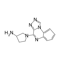 NC1CCN(c2nc3ccccc3n3cnnc23)C1